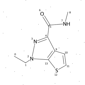 CCn1nc(C(=O)NC)c2ccsc21